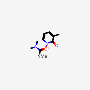 CNC(=[O+]n1cccc(C)c1=O)N(C)C